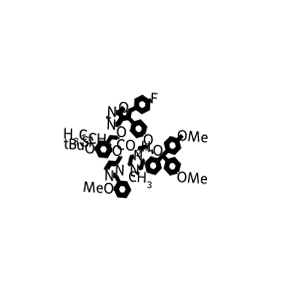 COc1ccc(C(OC[C@H](CN2CCN(C)CC2)Oc2ccc(-c3c(-c4ccc(F)cc4)oc4ncnc(OC(Cc5cc(O[Si](C)(C)C(C)(C)C)ccc5OCc5ccnc(-c6ccccc6OC)n5)C(=O)O)c34)cc2)(c2ccccc2)c2ccc(OC)cc2)cc1